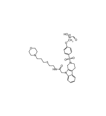 COc1ccc(S(=O)(=O)N2CCc3c(n(CC(=O)NCCSCCCN4CCOCC4)c4ccccc34)C2)cc1.O=CNO